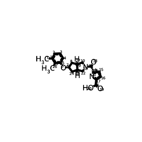 Cc1cccc(O[C@H]2C[C@@H]3CN(C(=O)n4ccc(C(=O)O)n4)C[C@@H]3C2)c1C